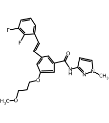 COCCCOc1cc(/C=C/c2cccc(F)c2F)cc(C(=O)Nc2ccn(C)n2)c1